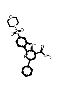 NC(=O)c1cc(-c2ccccc2)nc2c1[nH]c1cc(S(=O)(=O)N3CCOCC3)ccc12